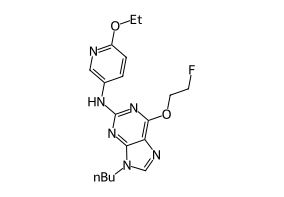 CCCCn1cnc2c(OCCF)nc(Nc3ccc(OCC)nc3)nc21